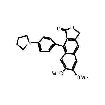 COc1cc2cc3c(c(-c4ccc(N5CCCC5)cc4)c2cc1OC)C(=O)OC3